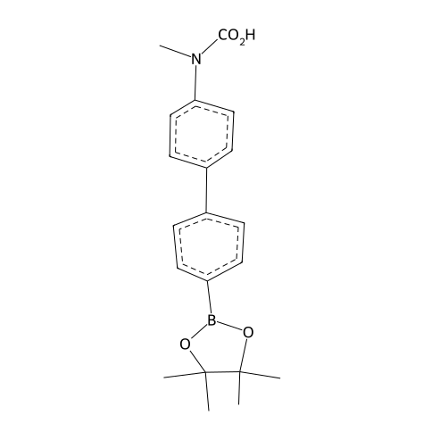 CN(C(=O)O)c1ccc(-c2ccc(B3OC(C)(C)C(C)(C)O3)cc2)cc1